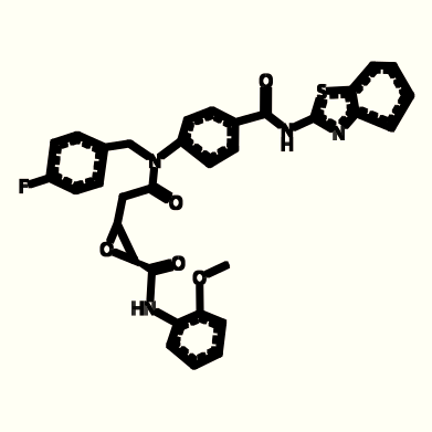 COc1ccccc1NC(=O)[C@H]1OC1CC(=O)N(Cc1ccc(F)cc1)c1ccc(C(=O)Nc2nc3ccccc3s2)cc1